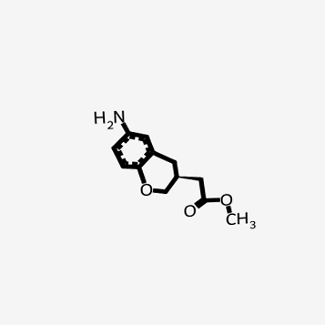 COC(=O)C[C@H]1COc2ccc(N)cc2C1